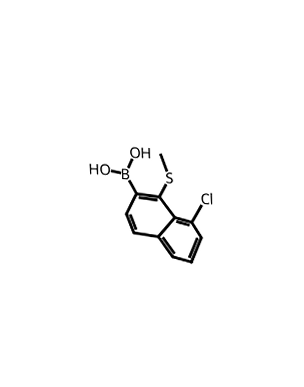 CSc1c(B(O)O)ccc2cccc(Cl)c12